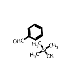 C[Si](C)(C)C#N.O=Cc1ccccc1